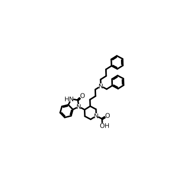 O=C(O)N1CCC(n2c(=O)[nH]c3ccccc32)C(CCCN(CCCc2ccccc2)Cc2ccccc2)C1